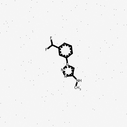 CNc1cn(-c2cccc(C(F)F)c2)nn1